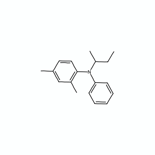 CCC(C)N(c1ccccc1)c1ccc(C)cc1C